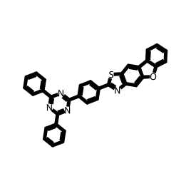 c1ccc(-c2nc(-c3ccccc3)nc(-c3ccc(-c4nc5cc6oc7ccccc7c6cc5s4)cc3)n2)cc1